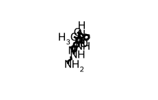 Cc1c2c(c(=O)n3c1C(=O)NC31CCCCC1)Nc1cc(NCCCN)ncc1C2